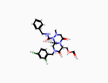 CN1CC(=O)N2[C@@H](COC=O)C(=O)N(Cc3ccc(F)cc3F)C[C@@H]2N1C(=O)NCc1ccccc1